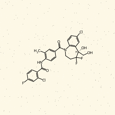 Cc1cc(C(=O)N2CCC(F)(F)[C@](O)(CO)c3cc(Cl)ccc32)ccc1NC(=O)c1ccc(F)cc1Cl